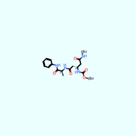 C[C@H](NC(=O)C[C@H](CC(=O)NC(C)(C)C)NC(=O)OC(C)(C)C)C(=O)Nc1ccccc1